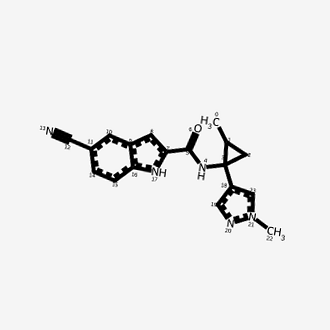 CC1CC1(NC(=O)c1cc2cc(C#N)ccc2[nH]1)c1cnn(C)c1